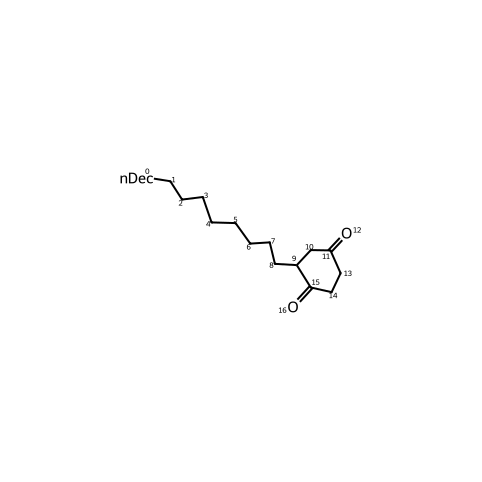 CCCCCCCCCCCCCCCCCCC1CC(=O)CCC1=O